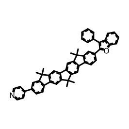 CC1(C)c2cc(-c3ccncc3)ccc2-c2cc3c(cc21)-c1cc2c(cc1C3(C)C)-c1ccc(-c3oc4ccccc4c3-c3ccccc3)cc1C2(C)C